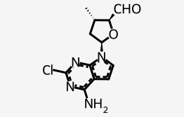 C[C@H]1C[C@H](n2ccc3c(N)nc(Cl)nc32)O[C@@H]1C=O